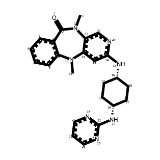 CN1C(=O)c2ccccc2N(C)c2cc(N[C@H]3CC[C@@H](Nc4ncccn4)CC3)ncc21